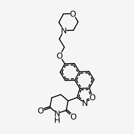 O=C1CCC(c2noc3ccc4cc(OCCN5CCOCC5)ccc4c23)C(=O)N1